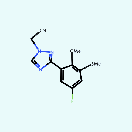 COc1c(SC)cc(F)cc1-c1ncn(CC#N)n1